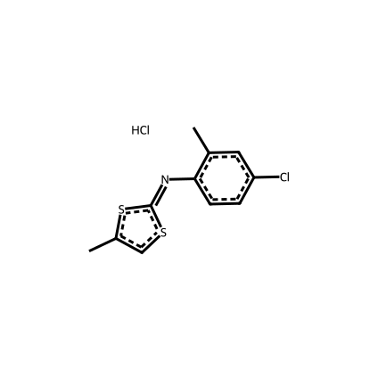 Cc1csc(=Nc2ccc(Cl)cc2C)s1.Cl